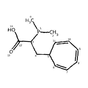 CP(C)C(CC1C=CC=CC=C1)C(=O)O